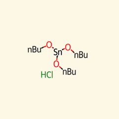 CCCC[O][Sn]([O]CCCC)[O]CCCC.Cl